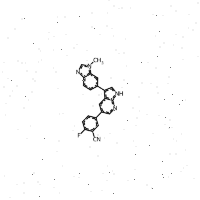 Cn1cnc2ccc(-c3c[nH]c4ncc(-c5ccc(F)c(C#N)c5)cc34)cc21